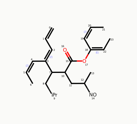 C=C/C=C(\C=C/C)C(CC(C)C)C(CC(C)N=O)C(=O)OC(/C=C\C)=C/C